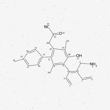 C=C/C(CN)=C(\C=C)c1c(C)c(-c2ccc(C)cc2)c(CC(=O)C#N)c(C)c1O